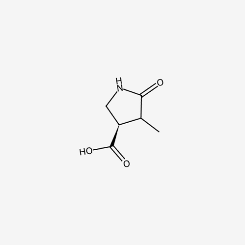 CC1C(=O)NC[C@@H]1C(=O)O